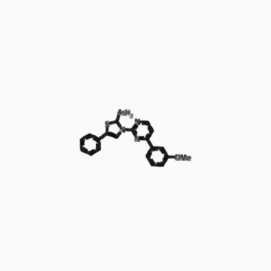 COc1cccc(-c2ccnc(N3C=C(c4ccccc4)SC3[AsH2])n2)c1